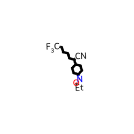 CCON=C1CCC(C(C#N)CCCCC(F)(F)F)CC1